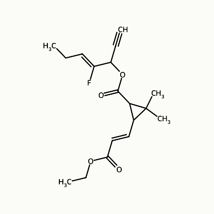 C#CC(OC(=O)C1C(/C=C/C(=O)OCC)C1(C)C)/C(F)=C/CC